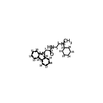 CN(CCNC(=O)Cn1c2ccccc2c2ccccc21)C1CCCCC1